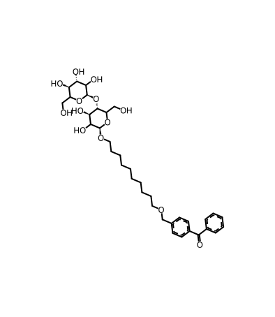 O=C(c1ccccc1)c1ccc(COCCCCCCCCCCO[C@@H]2OC(CO)[C@@H](O[C@H]3OC(CO)[C@@H](O)[C@H](O)C3O)[C@H](O)C2O)cc1